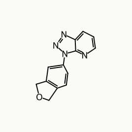 c1cnc2c(c1)nnn2-c1ccc2c(c1)COC2